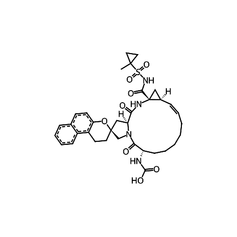 CC1(S(=O)(=O)NC(=O)[C@@]23C[C@H]2C=CCCCCC[C@H](NC(=O)O)C(=O)N2C[C@]4(CCc5c(ccc6ccccc56)O4)C[C@H]2C(=O)N3)CC1